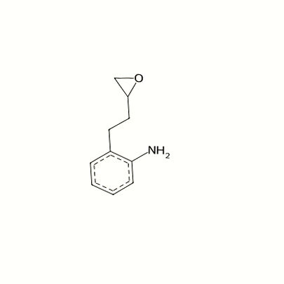 Nc1ccccc1CCC1CO1